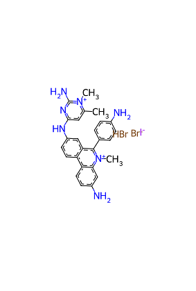 Br.Cc1cc(Nc2ccc3c(c2)c(-c2ccc(N)cc2)[n+](C)c2cc(N)ccc32)nc(N)[n+]1C.[Br-].[I-]